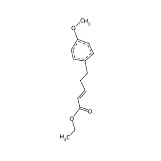 CCOC(=O)C=CCCc1ccc(OC)cc1